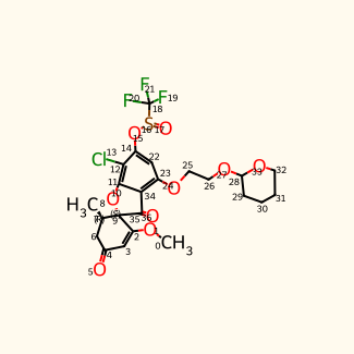 COC1=CC(=O)C[C@@H](C)[C@]12Oc1c(Cl)c(OS(=O)C(F)(F)F)cc(OCCOC3CCCCO3)c1C2=O